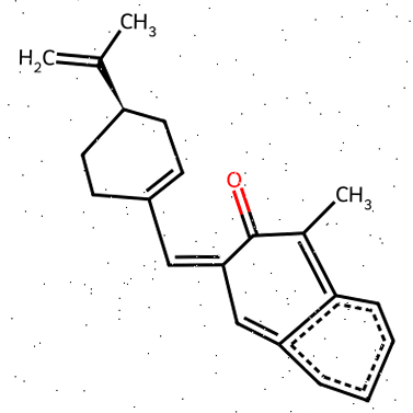 C=C(C)[C@H]1CC=C(/C=C2/C=c3ccccc3=C(C)C2=O)CC1